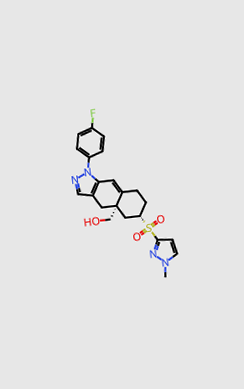 Cn1ccc(S(=O)(=O)[C@H]2CCC3=Cc4c(cnn4-c4ccc(F)cc4)C[C@]3(CO)C2)n1